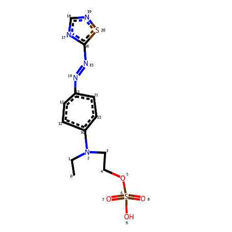 CCN(CCOS(=O)(=O)O)c1ccc(N=Nc2ncns2)cc1